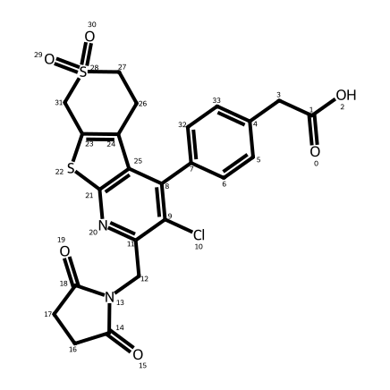 O=C(O)Cc1ccc(-c2c(Cl)c(CN3C(=O)CCC3=O)nc3sc4c(c23)CCS(=O)(=O)C4)cc1